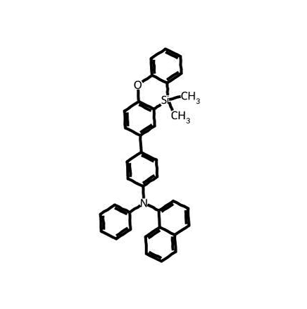 C[Si]1(C)c2ccccc2Oc2ccc(-c3ccc(N(c4ccccc4)c4cccc5ccccc45)cc3)cc21